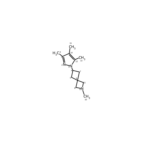 Cc1nn(C2CC3(C2)CN(C)C3)c(C)c1C